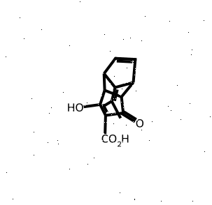 CC(C)=C1C2C=CC1C1C(O)=C(C(=O)O)C(=O)C21